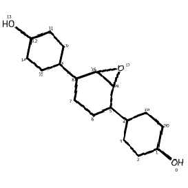 OC1CCC(C2CCC(C3CCC(O)CC3)C3OC23)CC1